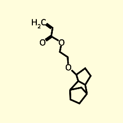 C=CC(=O)OCCOC1CCC2C3CCC(C3)C12